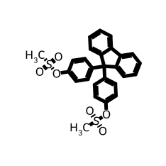 CS(=O)(=O)Oc1ccc(C2(c3ccc(OS(C)(=O)=O)cc3)c3ccccc3-c3ccccc32)cc1